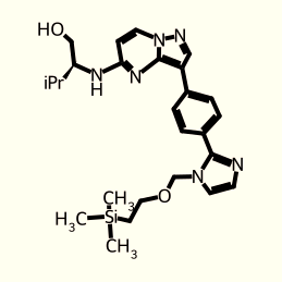 CC(C)[C@@H](CO)Nc1ccn2ncc(-c3ccc(-c4nccn4COCC[Si](C)(C)C)cc3)c2n1